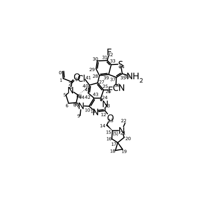 C=CC(=O)N1CC[C@@H](N(C)c2nc(OC[C@@H]3CC4(CC4)CN3C)nc3c(F)c(-c4ccc(F)c5sc(N)c(C#N)c45)c(Cl)cc23)[C@H]1C